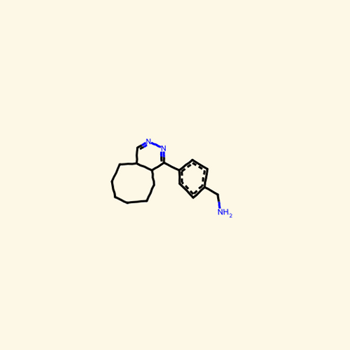 NCc1ccc(C2=NN=CC3CCCCCCC23)cc1